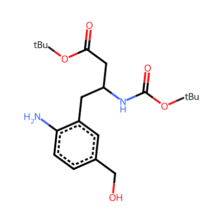 CC(C)(C)OC(=O)CC(Cc1cc(CO)ccc1N)NC(=O)OC(C)(C)C